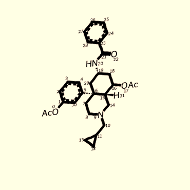 CC(=O)Oc1cccc([C@@]23CCN(CC4CC4)C[C@H]2C(OC(C)=O)C[C@@H](NC(=O)c2ccccc2)C3)c1